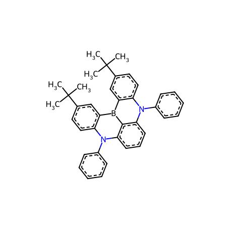 CC(C)(C)c1ccc2c(c1)B1c3cc(C(C)(C)C)ccc3N(c3ccccc3)c3cccc(c31)N2c1ccccc1